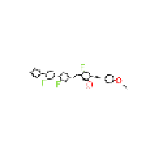 CCCOc1ccc(C#Cc2cc(F)c(CCc3ccc(-c4ccc(-c5ccc(C)cc5)c(F)c4)c(F)c3)cc2OC)cc1